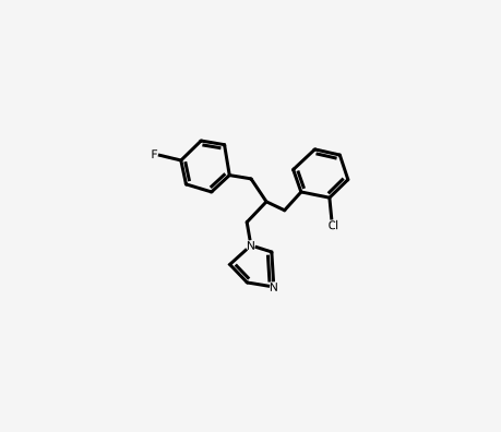 Fc1ccc(CC(Cc2ccccc2Cl)Cn2ccnc2)cc1